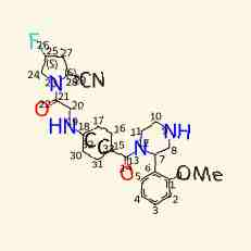 COc1ccccc1C1CNCCN1C(=O)C12CCC(NCC(=O)N3C[C@@H](F)C[C@H]3C#N)(CC1)CC2